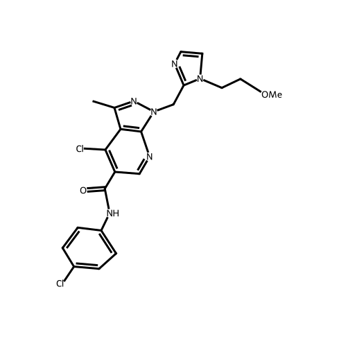 COCCn1ccnc1Cn1nc(C)c2c(Cl)c(C(=O)Nc3ccc(Cl)cc3)cnc21